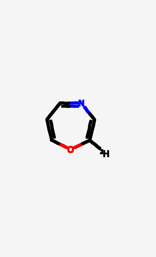 [2H]C1=CN=CC=CO1